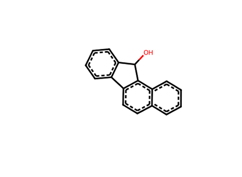 OC1c2ccccc2-c2ccc3ccccc3c21